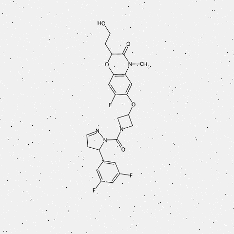 CN1C(=O)C(CCO)Oc2cc(F)c(OC3CN(C(=O)N4N=CCC4c4cc(F)cc(F)c4)C3)cc21